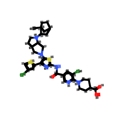 O=C(Nc1nc(-c2cc(Cl)cs2)c(N2CC3CCN(C4CC5CC[C@@H]4C5)C3C2)s1)c1cnc(N2CCC(C(=O)O)CC2)c(Cl)c1